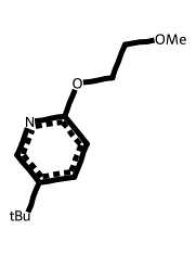 COCCOc1ccc(C(C)(C)C)cn1